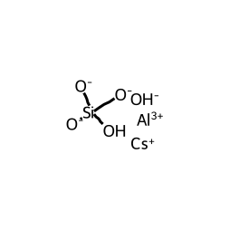 [Al+3].[Cs+].[O-][Si]([O-])([O-])O.[OH-]